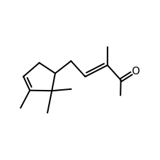 CC(=O)/C(C)=C/CC1CC=C(C)C1(C)C